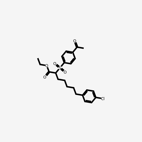 CCOC(=O)C(CCCCCc1ccc(Cl)cc1)S(=O)(=O)c1ccc(C(C)=O)cc1